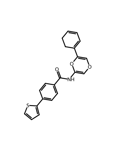 O=C(NC1=COC=C(C2=CC=CCC2)O1)c1ccc(-c2cccs2)cc1